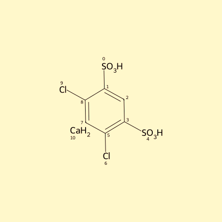 O=S(=O)(O)c1cc(S(=O)(=O)O)c(Cl)cc1Cl.[CaH2]